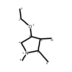 CCOC1CN(C)C(C)C1C